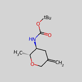 C=C1CO[C@H](C)[C@@H](NC(=O)OC(C)(C)C)C1